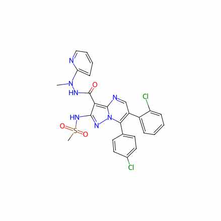 CN(NC(=O)c1c(NS(C)(=O)=O)nn2c(-c3ccc(Cl)cc3)c(-c3ccccc3Cl)cnc12)c1ccccn1